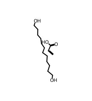 C=CC(=O)O.OCCCCCCCCCCCCO